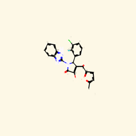 Cc1ccc(C(=O)C2=C(O)C(=O)N(c3nc4ccccc4[nH]3)C2c2cccc(Cl)c2F)o1